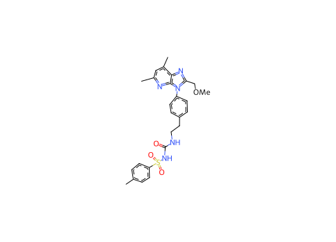 COCc1nc2c(C)cc(C)nc2n1-c1ccc(CCNC(=O)NS(=O)(=O)c2ccc(C)cc2)cc1